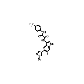 CC(C)n1cc(-c2cc3c(NC(=O)C(=O)Nc4ccc(C(F)(F)F)cc4)c[nH]c3cc2F)cn1